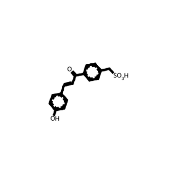 O=C(C=Cc1ccc(O)cc1)c1ccc(CS(=O)(=O)O)cc1